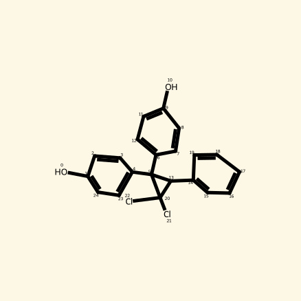 Oc1ccc(C2(c3ccc(O)cc3)C(c3ccccc3)C2(Cl)Cl)cc1